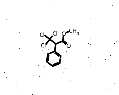 COC(=O)C(c1ccccc1)C(Cl)(Cl)Cl